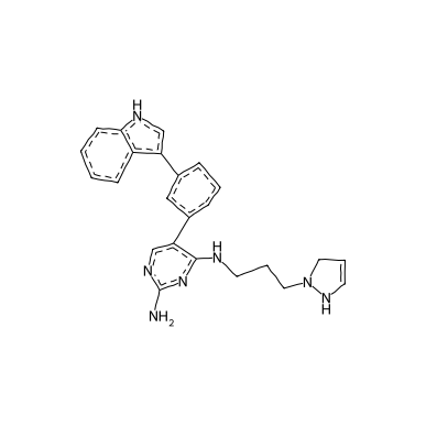 Nc1ncc(-c2cccc(-c3c[nH]c4ccccc34)c2)c(NCCCN2CC=CN2)n1